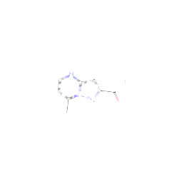 Cc1ccnc2cc(C(=O)Cl)nn12